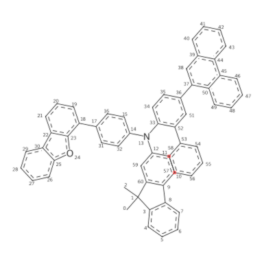 CC1(C)c2ccccc2-c2ccc(N(c3ccc(-c4cccc5c4oc4ccccc45)cc3)c3ccc(-c4cc5ccccc5c5ccccc45)cc3-c3ccccc3)cc21